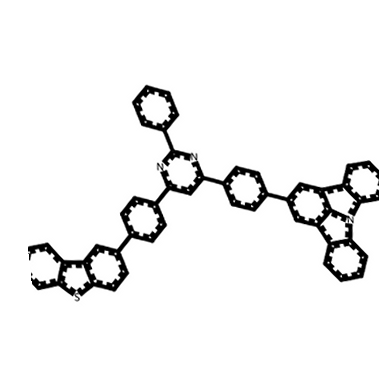 c1ccc(-c2nc(-c3ccc(-c4ccc5sc6ccccc6c5c4)cc3)cc(-c3ccc(-c4cc5c6ccccc6n6c7ccccc7c(c4)c56)cc3)n2)cc1